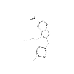 COCCn1c(Cc2ccc(Br)cn2)nc2ccc(C(=O)OC)cc21